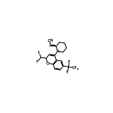 N#CN=C1CCCCN1C1=CC(C(F)F)Oc2ccc(C(F)(F)C(F)(F)F)cc21